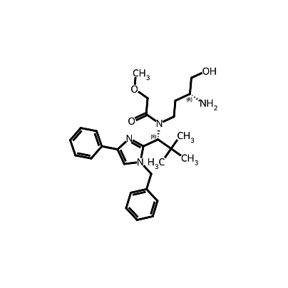 COCC(=O)N(CC[C@@H](N)CO)[C@@H](c1nc(-c2ccccc2)cn1Cc1ccccc1)C(C)(C)C